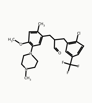 COc1cc(C)c(CC(C=O)Cc2cc(C(F)(F)F)ccc2Cl)cc1N1CCN(C)CC1